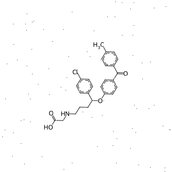 Cc1ccc(C(=O)c2ccc(OC(CCCNCC(=O)O)c3ccc(Cl)cc3)cc2)cc1